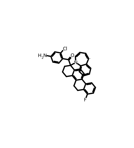 Nc1ccc(C(=O)C2(N3C=CC=[C]c4ccccc43)CCCc3c2ccc2c3CCc3c(F)cccc3-2)c(Cl)c1